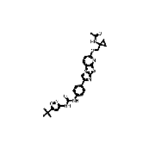 CC(=O)NC1(COc2ccc3c(n2)sc2nc(-c4ccc(NC(=O)Nc5cc(C(C)(C)C)on5)cc4)cn23)CC1